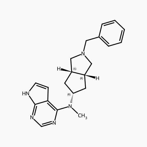 CN(c1ncnc2[nH]ccc12)[C@@H]1C[C@@H]2CN(Cc3ccccc3)C[C@@H]2C1